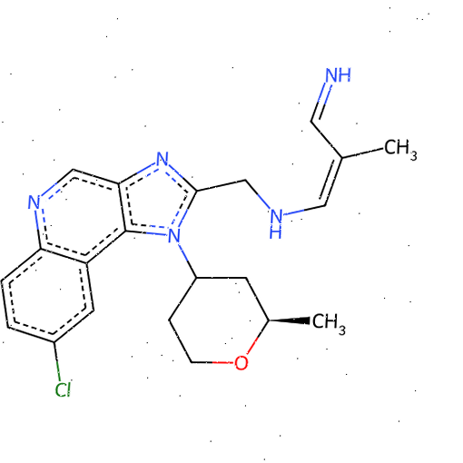 C/C(C=N)=C/NCc1nc2cnc3ccc(Cl)cc3c2n1C1CCO[C@H](C)C1